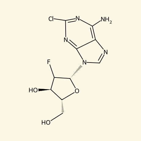 Nc1nc(Cl)nc2c1ncn2[C@@H]1O[C@H](CO)[C@@H](O)C1F